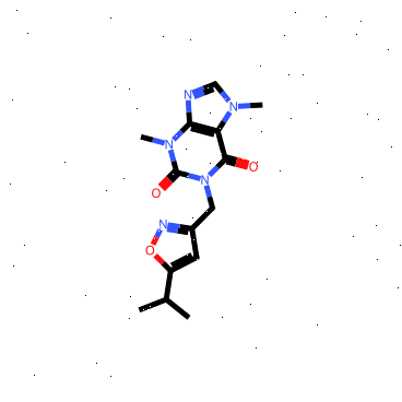 CC(C)c1cc(Cn2c(=O)c3c(ncn3C)n(C)c2=O)no1